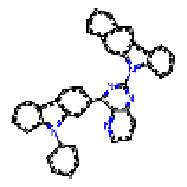 c1ccc(-n2c3ccccc3c3ccc(-c4nc(-n5c6ccccc6c6cc7ccccc7cc65)nc5cccnc45)cc32)cc1